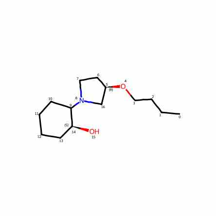 CCCCO[C@@H]1CCN(C2CCCC[C@@H]2O)C1